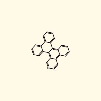 c1ccc2c(c1)c1ccccc1c1c3cnccc3c3ccccc3c21